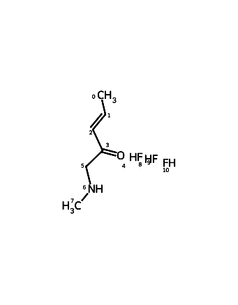 CC=CC(=O)CNC.F.F.F